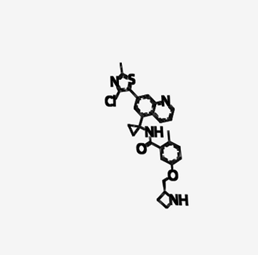 Cc1nc(Cl)c(-c2cc(C3(NC(=O)c4cc(OC[C@@H]5CCN5)ccc4C)CC3)c3cccnc3c2)s1